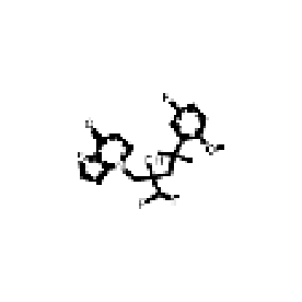 COc1ccc(F)cc1C(C)(C)CC(O)(Cn1ccc(=O)c2sccc21)C(F)F